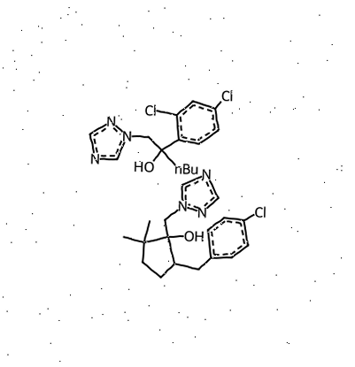 CC1(C)CCC(Cc2ccc(Cl)cc2)C1(O)Cn1cncn1.CCCCC(O)(Cn1cncn1)c1ccc(Cl)cc1Cl